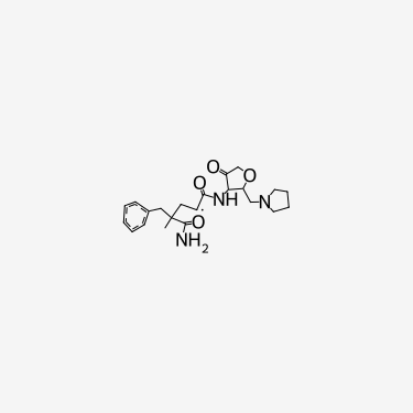 CC(C[CH]C(=O)NC1C(=O)COC1CN1CCCC1)(Cc1ccccc1)C(N)=O